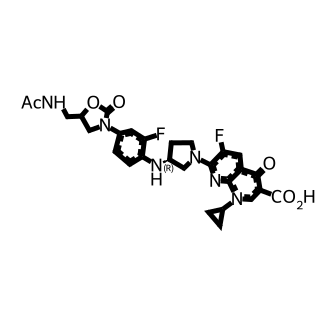 CC(=O)NCC1CN(c2ccc(N[C@@H]3CCN(c4nc5c(cc4F)c(=O)c(C(=O)O)cn5C4CC4)C3)c(F)c2)C(=O)O1